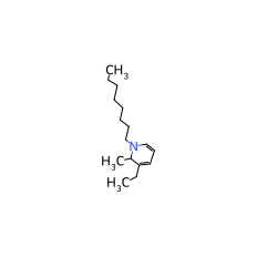 CCCCCCCCN1C=CC=C(CC)C1C